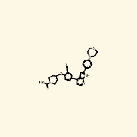 N#Cc1cc(-c2ccnc3[nH]c(-c4ccc(N5CCOCC5)cc4)cc23)ccc1OC1CCN(C(=O)O)CC1